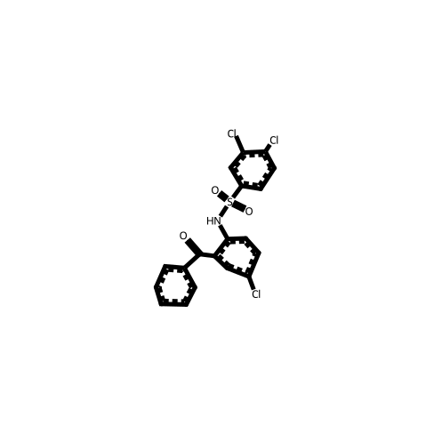 O=C(c1ccccc1)c1cc(Cl)ccc1NS(=O)(=O)c1ccc(Cl)c(Cl)c1